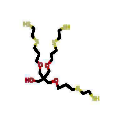 OCC(COCCCSCCS)(COCCCSCCS)COCCCSCCS